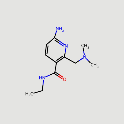 CCNC(=O)c1ccc(N)nc1CN(C)C